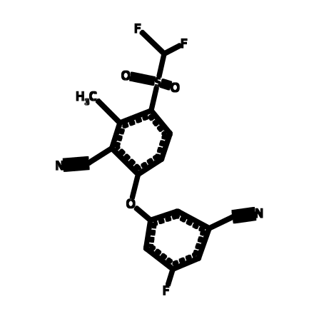 Cc1c(S(=O)(=O)C(F)F)ccc(Oc2cc(F)cc(C#N)c2)c1C#N